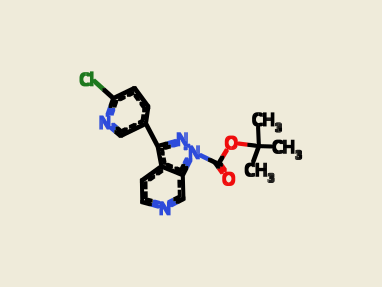 CC(C)(C)OC(=O)n1nc(-c2ccc(Cl)nc2)c2ccncc21